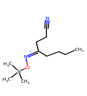 CCCC/C(CCC#N)=N\O[Si](C)(C)C